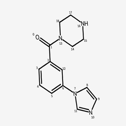 O=C(c1cccc(-n2ccnc2)c1)N1CCNCC1